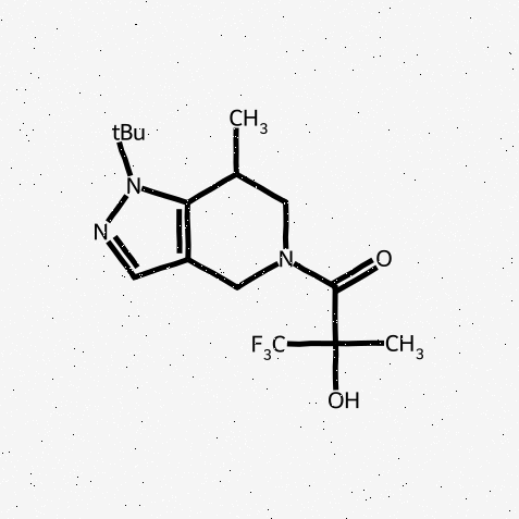 CC1CN(C(=O)C(C)(O)C(F)(F)F)Cc2cnn(C(C)(C)C)c21